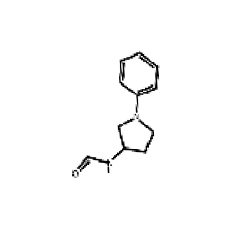 O=CNC1CCN(c2ccccc2)C1